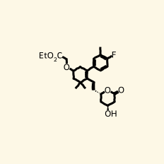 CCOC(=O)COC1CC(c2ccc(F)c(C)c2)=C(C=C[C@H]2C[C@H](O)CC(=O)O2)C(C)(C)C1